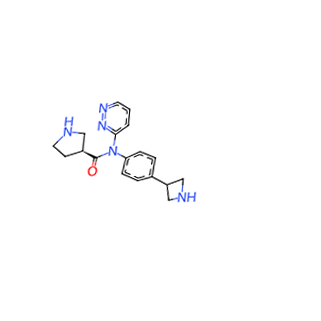 O=C([C@H]1CCNC1)N(c1ccc(C2CNC2)cc1)c1cccnn1